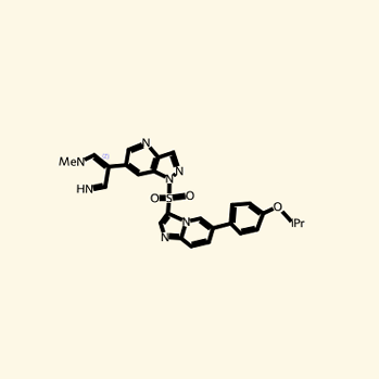 CN/C=C(\C=N)c1cnc2cnn(S(=O)(=O)c3cnc4ccc(-c5ccc(OC(C)C)cc5)cn34)c2c1